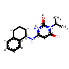 CC(C)n1c(=O)cc(N[C@@H]2CCCc3ccccc32)[nH]c1=O